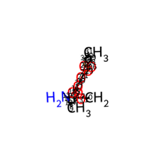 C=CCOC(=O)c1cc(C)cc(N)c1OCCOCCOCCOS(=O)(=O)c1ccc(C)cc1